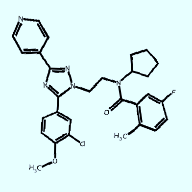 COc1ccc(-c2nc(-c3ccncc3)nn2CCN(C(=O)c2cc(F)ccc2C)C2CCCC2)cc1Cl